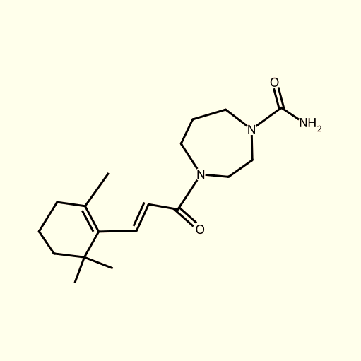 CC1=C(/C=C/C(=O)N2CCCN(C(N)=O)CC2)C(C)(C)CCC1